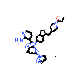 C=CC(=O)N1CCC(CC2CCc3cc(-n4c(-c5cccnc5N)nc5ccc(-n6cccn6)nc54)ccc32)CC1